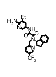 CCc1cc(NC(=O)C(=O)N(Cc2ccc(C(F)(F)F)cn2)[C@@H]2CCc3ccccc32)cnc1N